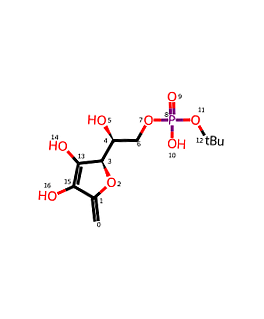 C=C1O[C@H]([C@@H](O)COP(=O)(O)OC(C)(C)C)C(O)=C1O